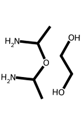 CC(N)OC(C)N.OCCO